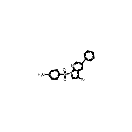 Cc1ccc(S(=O)(=O)n2cc(Br)c3cc(-c4ccccc4)cnc32)cc1